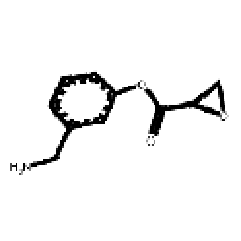 NCc1cccc(OC(=O)C2CO2)c1